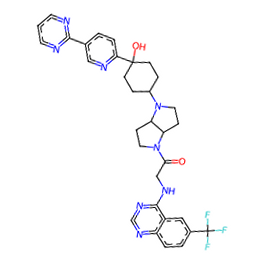 O=C(CNc1ncnc2ccc(C(F)(F)F)cc12)N1CCC2C1CCN2C1CCC(O)(c2ccc(-c3ncccn3)cn2)CC1